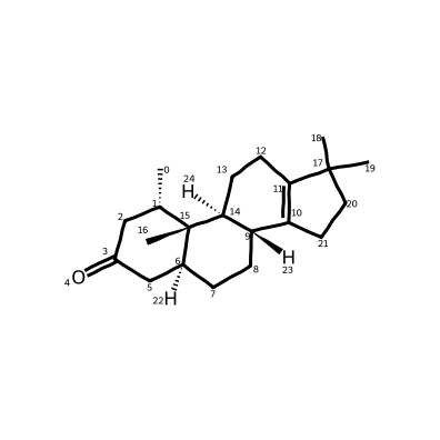 C[C@H]1CC(=O)C[C@@H]2CC[C@H]3C4=C(CC[C@@H]3[C@]21C)C(C)(C)CC4